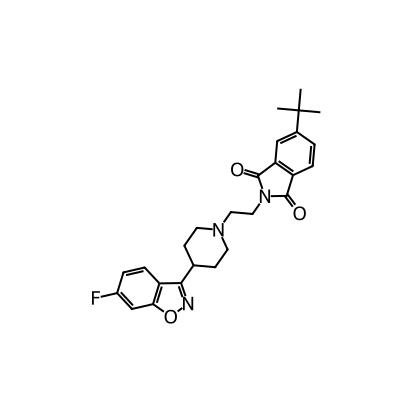 CC(C)(C)c1ccc2c(c1)C(=O)N(CCN1CCC(c3noc4cc(F)ccc34)CC1)C2=O